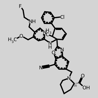 COCc1cc(NC2(c3nc4cc(CN5CCCC[C@H]5C(=O)O)cc(C#N)c4o3)C=CC=C(c3ccccc3Cl)C2C)ncc1CNCCF